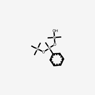 C[Si](C)(C)O[Si](C)(O[Si](C)(C)O)c1ccccc1